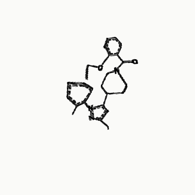 CCOc1ccccc1C(=O)N1CCC(c2cc(C)nn2-c2ccccc2C)CC1